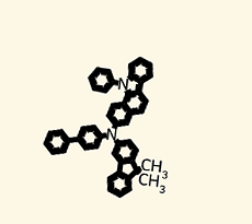 CC1(C)c2ccccc2-c2cc(N(c3ccc(-c4ccccc4)cc3)c3ccc4c(ccc5c6ccccc6n(-c6ccccc6)c45)c3)ccc21